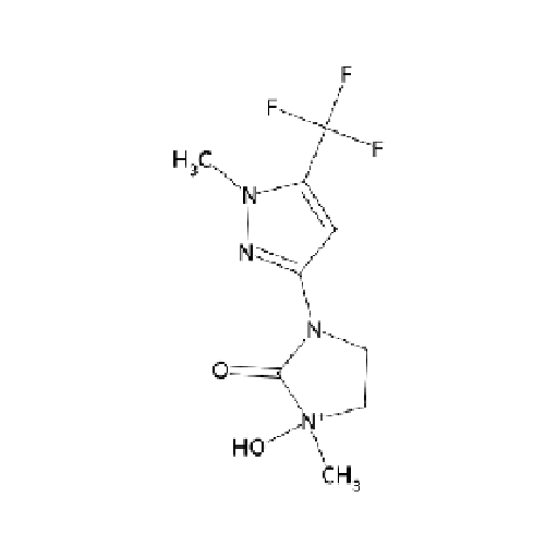 Cn1nc(N2CC[N+](C)(O)C2=O)cc1C(F)(F)F